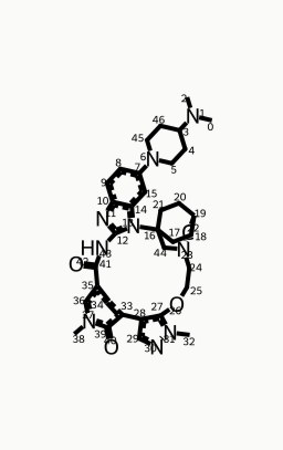 CN(C)C1CCN(c2ccc3nc4n(c3c2)C23CCC(CC2)CN(CCOc2c(cnn2C)-c2cc(cn(C)c2=O)C(=O)N4)C3)CC1